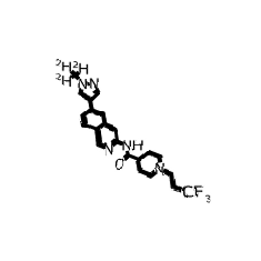 [2H]C([2H])([2H])n1cc(-c2ccc3cnc(NC(=O)C4CCN(CCC(F)(F)F)CC4)cc3c2)cn1